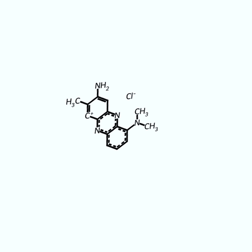 CC1=[C+]c2nc3cccc(N(C)C)c3nc2C=C1N.[Cl-]